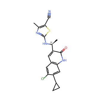 Cc1nc(N[C@@H](C)c2cc3cc(Cl)c(C4CC4)cc3[nH]c2=O)sc1C#N